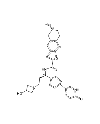 CC(C)(C)[C@H]1CCc2nc3sc(C(=O)N[C@H](CCN4CC(O)C4)c4ccc(-c5ccc(=O)[nH]c5)cc4)cc3cc2C1